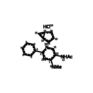 CNc1nc(-c2ccccc2)ncc1NC(C)=O.Cl.c1cc2cc-2c1